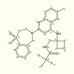 Cc1ccc2nc(N3CCS(=O)(=O)c4ccccc4C3)cc(NC3(CNC(=O)C(F)(F)F)COC3)c2c1